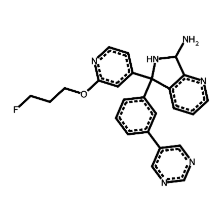 NC1NC(c2cccc(-c3cncnc3)c2)(c2ccnc(OCCCF)c2)c2cccnc21